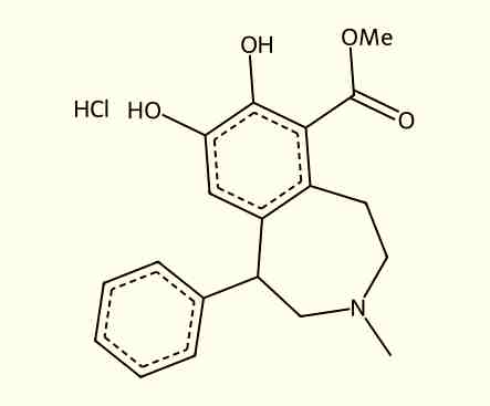 COC(=O)c1c(O)c(O)cc2c1CCN(C)CC2c1ccccc1.Cl